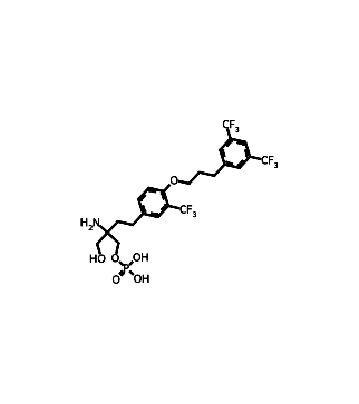 NC(CO)(CCc1ccc(OCCCc2cc(C(F)(F)F)cc(C(F)(F)F)c2)c(C(F)(F)F)c1)COP(=O)(O)O